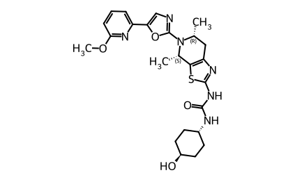 COc1cccc(-c2cnc(N3[C@H](C)Cc4nc(NC(=O)N[C@H]5CC[C@H](O)CC5)sc4[C@@H]3C)o2)n1